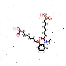 CCN(C(=O)CCCCCCS(=O)O)c1ccccc1OCCCCCCC(=O)O